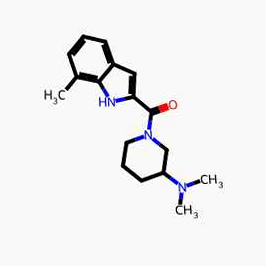 Cc1cccc2cc(C(=O)N3CCCC(N(C)C)C3)[nH]c12